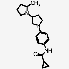 CC1CCCN1C1CCN(c2ccc(NC(=O)C3CC3)cc2)C1